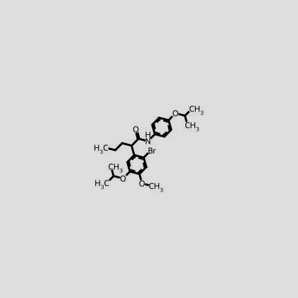 CCCC(C(=O)Nc1ccc(OC(C)C)cc1)c1cc(OC(C)C)c(OC)cc1Br